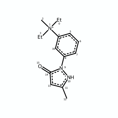 CC[N+](C)(CC)c1cccc(-n2[nH]c(C)cc2=O)c1